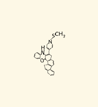 CSCCN1C=CC(C2=C(Nc3ccccc3)C(=O)c3c(ccc4c3CC=C3CC=CC=C34)C2)=CC1